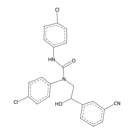 N#Cc1cccc(C(O)CN(C(=O)Nc2ccc(Cl)cc2)c2ccc(Cl)cc2)c1